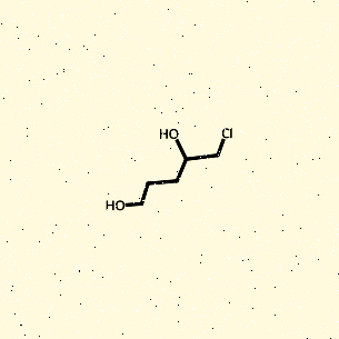 OCCCC(O)CCl